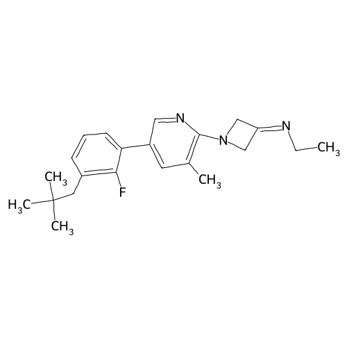 CCN=C1CN(c2ncc(-c3cccc(CC(C)(C)C)c3F)cc2C)C1